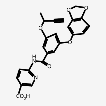 C#CC(C)Oc1cc(Oc2ccc3c(c2)OCO3)cc(C(=O)Nc2ccc(C(=O)O)cn2)c1